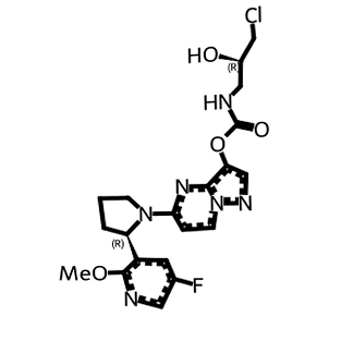 COc1ncc(F)cc1[C@H]1CCCN1c1ccn2ncc(OC(=O)NC[C@@H](O)CCl)c2n1